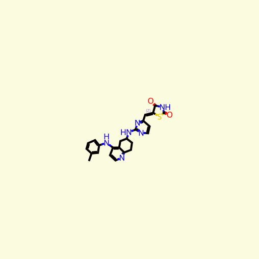 Cc1cccc(Nc2ccnc3c2CC(Nc2nccc(/C=C4\SC(=O)NC4=O)n2)CC3)c1